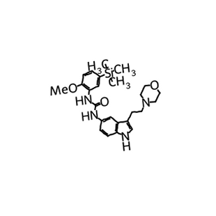 COc1ccc([Si](C)(C)C)cc1NC(=O)Nc1ccc2[nH]cc(CCN3CCOCC3)c2c1